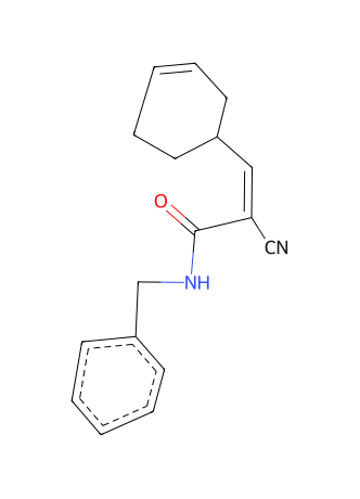 N#CC(=CC1CC=CCC1)C(=O)NCc1ccccc1